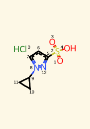 Cl.O=S(=O)(O)c1ccn(C2CC2)n1